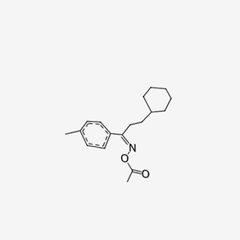 CC(=O)ON=C(CCC1CCCCC1)c1ccc(C)cc1